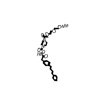 COCCOCCOCC(=O)N1CCN(C(=O)ONC(=O)Cc2ccc(CCCCc3ccccc3)cc2)CC1